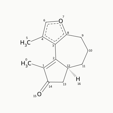 CC1=C2c3c(C)coc3CCC[C@H]2CC1=O